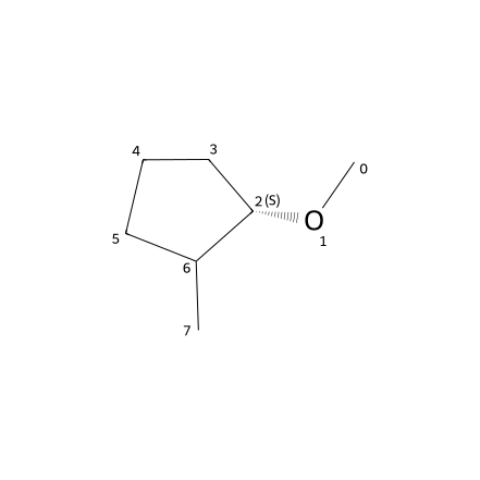 CO[C@H]1CCCC1C